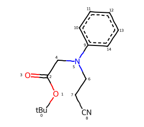 CC(C)(C)OC(=O)CN(CCC#N)c1ccccc1